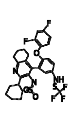 O=S(=O)=Nc1c(C2CCCCC2)nc2c(c1-c1cc(NSC(F)(F)F)ccc1Oc1ccc(F)cc1F)CCCC2